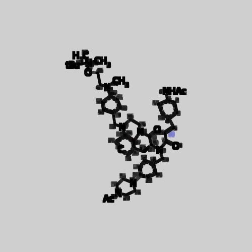 CC(=O)Nc1ccc(/C=C/C(=O)N(Cc2ccc(N3CCN(C(C)=O)CC3)cc2)[C@@H](Cc2ccccc2)C(=O)N2CCN(Cc3ccc(N(C)CCO[Si](C)(C)C(C)(C)C)cc3)CC2)cc1